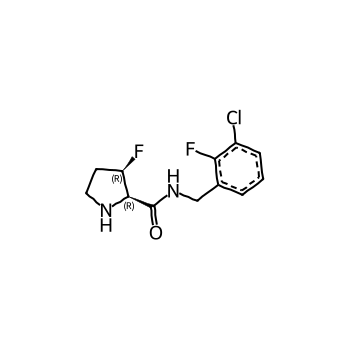 O=C(NCc1cccc(Cl)c1F)[C@H]1NCC[C@H]1F